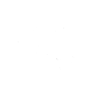 CCC(c1cc(Br)ccc1C(=O)c1cnoc1C1CC1)n1cncn1